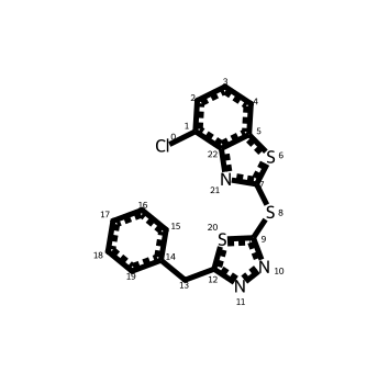 Clc1cccc2sc(Sc3nnc(Cc4ccccc4)s3)nc12